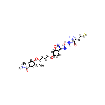 COc1cc(C(=O)N(C(C)C)C(C)C)ccc1OCCCCOc1ccc2c(NC(=O)CNC(=O)C(N)CCC=S)noc2c1